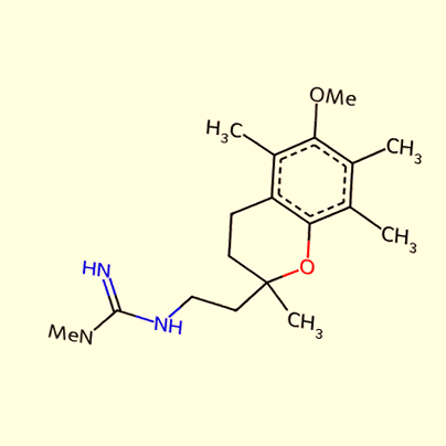 CNC(=N)NCCC1(C)CCc2c(C)c(OC)c(C)c(C)c2O1